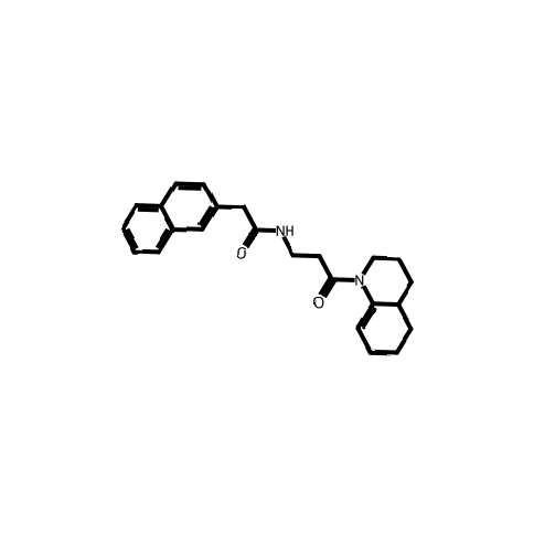 O=C(Cc1ccc2ccccc2c1)NCCC(=O)N1CCCC2CCCC=C21